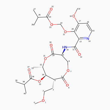 COCC[C@H]1C(=O)OC[C@H](NC(=O)c2nccc(OC)c2OCOC(=O)C(C)C)C(=O)O[C@@H](C)[C@@H]1OC(=O)C(C)C